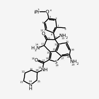 Cc1cc(OC(C)C)ccc1C1(N)C(=O)C(N)c2c(C(=O)NC3CCCNC3)sc3c(N)ccc1c23